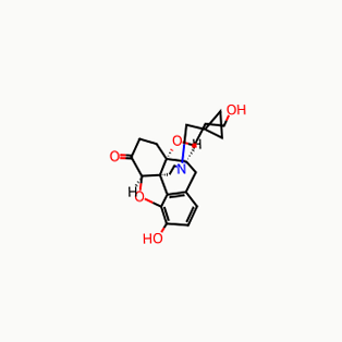 O=C1CC[C@@]2(OCCCO)[C@H]3Cc4ccc(O)c5c4[C@@]2(CCN3CC2CC2)[C@H]1O5